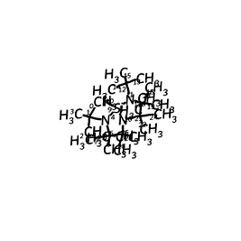 CC(C)(C)N(C(C)(C)C)[Si](I)(N(C(C)(C)C)C(C)(C)C)N(C(C)(C)C)C(C)(C)C